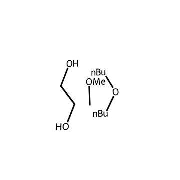 CCCCOCCCC.COC.OCCO